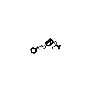 C=C(C)C(=O)OC1C2CC3CC1CC(OCOCC1CCCCC1)(C3)C2